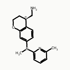 Cc1cccc(N(C)c2ccc3c(c2)OCC[C@H]3CN)n1